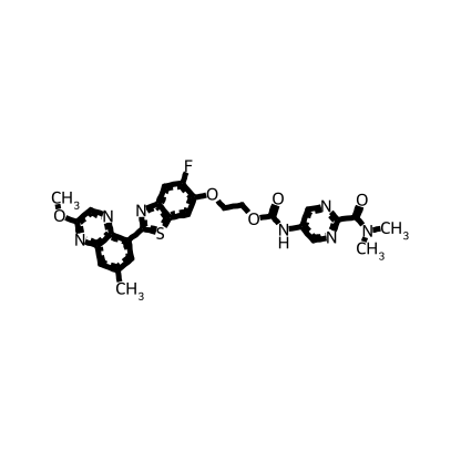 COc1cnc2c(-c3nc4cc(F)c(OCCOC(=O)Nc5cnc(C(=O)N(C)C)nc5)cc4s3)cc(C)cc2n1